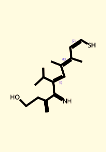 C=C(CCO)C(=N)/C(=C/C(C)=C(C)/C=C\S)C(C)C